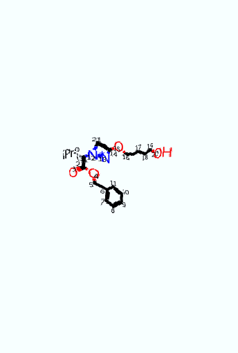 CC(C)[C@@H](C(=O)OCc1ccccc1)[N+]1=NC(OCCCCO)=C1